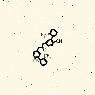 N#Cc1ccc(CC(=O)Cc2ccc(C#N)c(-c3ccccc3C(F)(F)F)c2)cc1-c1ccccc1C(F)(F)F